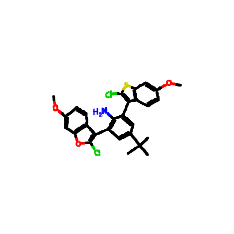 COc1ccc2c(-c3cc(C(C)(C)C)cc(-c4c(Cl)sc5cc(OC)ccc45)c3N)c(Cl)oc2c1